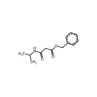 CC(C)NC(=O)CC(=O)OCc1ccccc1